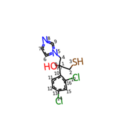 O[C@@](CS)(Cn1ccnc1)c1ccc(Cl)cc1Cl